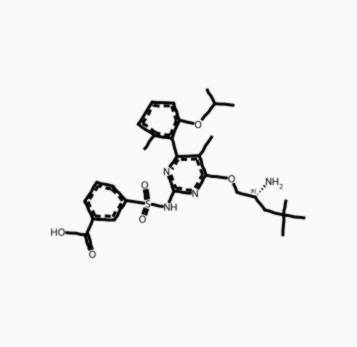 Cc1cccc(OC(C)C)c1-c1nc(NS(=O)(=O)c2cccc(C(=O)O)c2)nc(OC[C@H](N)CC(C)(C)C)c1C